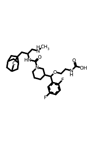 CNCC(CC12CC3CC(CC1C3)C2)NC(=O)N1CCCC(C(OCCNC(=O)O)c2cc(F)ccc2F)C1